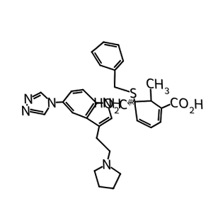 CC1C(C(=O)O)=CC=C[C@]1(SCc1ccccc1)C(=O)O.c1cc2[nH]cc(CCN3CCCC3)c2cc1-n1cnnc1